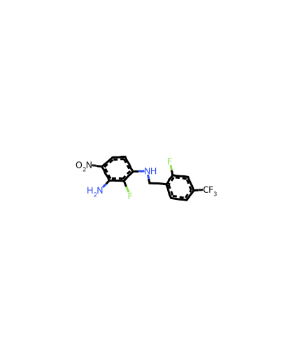 Nc1c([N+](=O)[O-])ccc(NCc2ccc(C(F)(F)F)cc2F)c1F